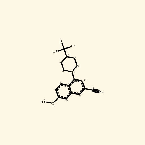 COc1ccc2c(N3CCC(C(F)(F)F)CC3)nc(C#N)cc2c1